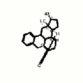 C[C@]12CC3c4ccccc4C[C@]45CCC(=O)C=C4CC[C@H](C35)[C@@H]1CC[C@@H]2O